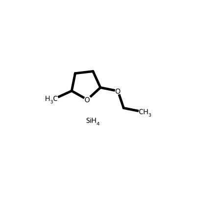 CCOC1CCC(C)O1.[SiH4]